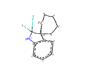 FC1(F)Nc2ccccc2C12CCCCC2